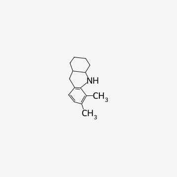 Cc1ccc2c(c1C)NC1CCCCC1C2